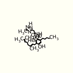 CCCCCc1cc(O)c(C/C=C(\C)CCC=C(C)C)c(O)c1S(=O)(=O)NC(=O)Cc1nc(C)n[nH]1